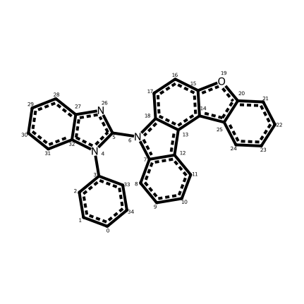 c1ccc(-n2c(-n3c4ccccc4c4c5c(ccc43)oc3ccccc35)nc3ccccc32)cc1